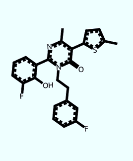 Cc1ccc(-c2c(C)nc(-c3cccc(F)c3O)n(CCc3cccc(F)c3)c2=O)s1